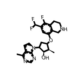 Cc1ncnc2c1ccn2C1CC(Oc2cc(C(F)F)c(F)c3c2CNCC3)[C@@H](C)[C@H]1O